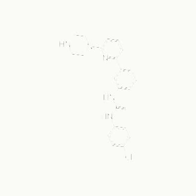 O=C(Nc1ccc(Cl)cc1)Nc1cccc(-c2cccc(N3CCNCC3)n2)c1